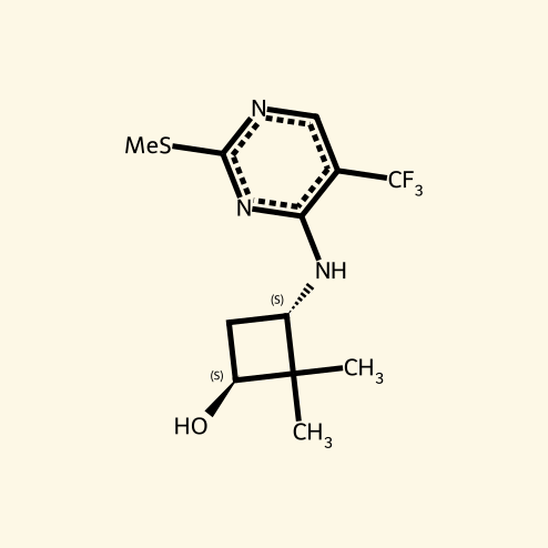 CSc1ncc(C(F)(F)F)c(N[C@H]2C[C@H](O)C2(C)C)n1